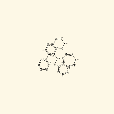 C1=NC=c2ccccc2=NC1.c1ccc2c(c1)CCc1c-2ccc2c1CCCC2